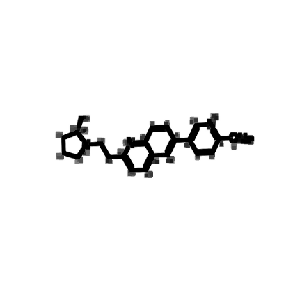 COc1ccc(-c2ccc3nc(CCN4CCC[C@H]4C)ccc3c2)cn1